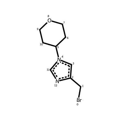 BrCc1cn(C2CCOCC2)cn1